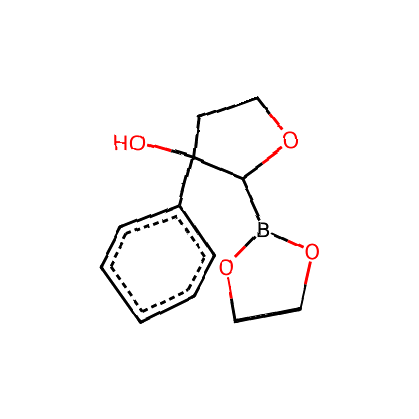 OC1(c2ccccc2)CCOC1B1OCCO1